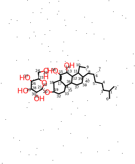 CC(C)CCC[C@@H](C)[C@H]1CCC2C3C(O)C(O)=C4CC(O[C@H]5O[C@H](CO)[C@H](O)[C@@H](O)[C@H]5O)CC[C@]4(C)C3CC[C@@]21C